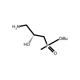 CC(C)COP(C)(=O)C[C@H](O)CN